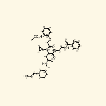 CC(=O)O.NN=CN1CCC[C@@H](CNC(=O)CC(C(=O)NCCNC(=O)c2cnccn2)N(C(=O)COc2ccccc2)C2CC2)C1